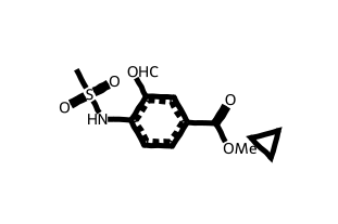 C1CC1.COC(=O)c1ccc(NS(C)(=O)=O)c(C=O)c1